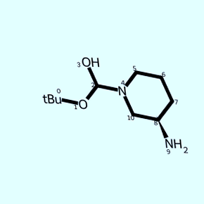 CC(C)(C)OC(O)N1CCC[C@@H](N)C1